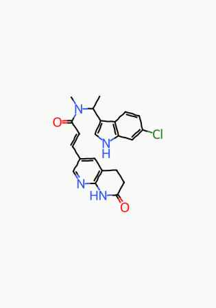 CC(c1c[nH]c2cc(Cl)ccc12)N(C)C(=O)C=Cc1cnc2c(c1)CCC(=O)N2